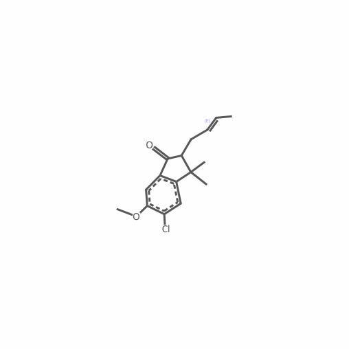 C/C=C/CC1C(=O)c2cc(OC)c(Cl)cc2C1(C)C